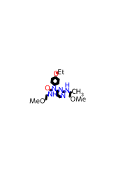 CCOc1ccc(N(C(=O)NCCOC)c2ccnc(NC(C)COC)n2)cc1